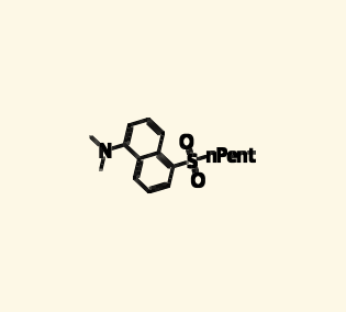 CCCCCS(=O)(=O)c1cccc2c(N(C)C)cccc12